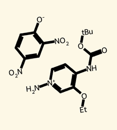 CCOc1c[n+](N)ccc1NC(=O)OC(C)(C)C.O=[N+]([O-])c1ccc([O-])c([N+](=O)[O-])c1